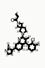 C=CC(=O)N1CC2(CCN(c3nc4cc(-c5ccnn5C)ccc4c(-c4cccc(F)c4Cl)c3C)C2)C1